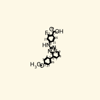 COc1ccc(-c2cccn3nc(Nc4ccc(C(=O)O)c(F)c4)nc23)cc1